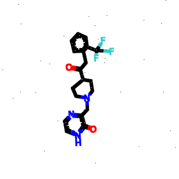 O=C(Cc1ccccc1C(F)(F)F)C1CCN(Cc2ncc[nH]c2=O)CC1